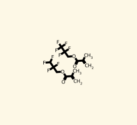 C=C(C)C(=O)OCC(F)(F)C(F)(F)F.C=C(C)C(=O)OCC(F)(F)C(F)F